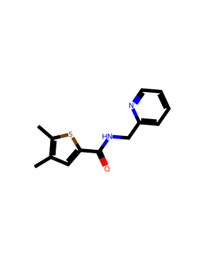 Cc1cc(C(=O)NCc2ccccn2)sc1C